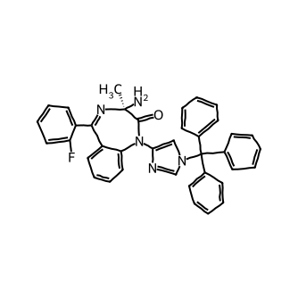 C[C@@]1(N)N=C(c2ccccc2F)c2ccccc2N(c2cn(C(c3ccccc3)(c3ccccc3)c3ccccc3)cn2)C1=O